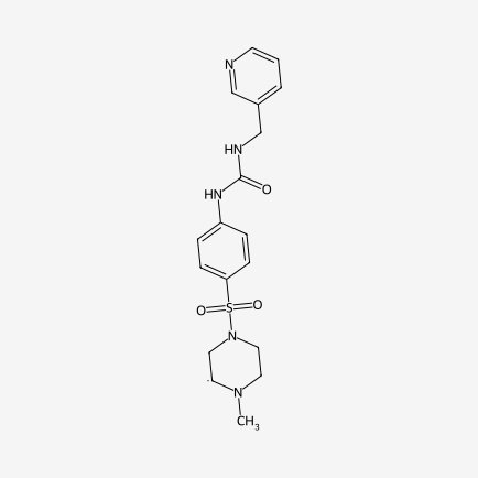 CN1[CH]CN(S(=O)(=O)c2ccc(NC(=O)NCc3cccnc3)cc2)CC1